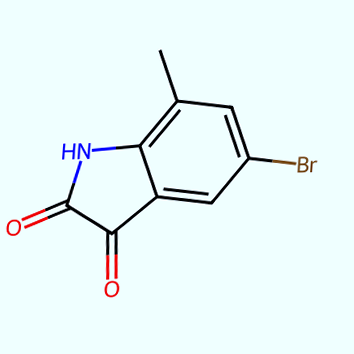 Cc1cc(Br)cc2c1NC(=O)C2=O